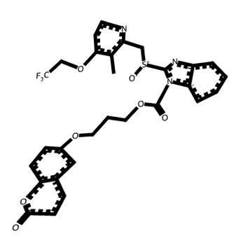 Cc1c(OCC(F)(F)F)ccnc1C[S+]([O-])c1nc2ccccc2n1C(=O)OCCCOc1ccc2oc(=O)ccc2c1